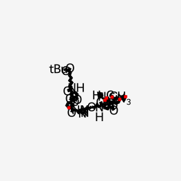 CC(C)(C)OC(=O)CCCCCCNC(=O)c1ccc(=O)n(S(=O)(=O)c2cccc(C(=O)NCc3cn(CCOCCNC(=O)c4ccc5c(c4)C4(OC5=O)c5ccc(N6CCC6)cc5[Si](C)(C)c5cc(N6CCC6)ccc54)nn3)c2)c1